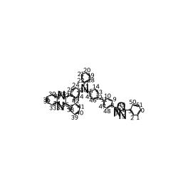 c1ccc(-c2nnc(-c3ccc(-c4ccc(N(c5ccccc5)c5ccc(-c6nc7ccccc7nc6-c6ccccc6)cc5)cc4)cc3)o2)cc1